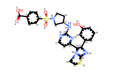 O=C(O)c1ccc(S(=O)(=O)N2CC[C@@H](Nc3nccc(-c4c(-c5cccc(O)c5)nc5sccn45)n3)C2)cc1